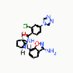 Nc1noc2c(N3C[C@@H]4CC[C@H]3[C@@H]4NC(=O)c3ccc(-n4cnnc4)cc3Cl)cccc12